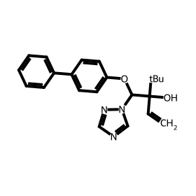 C=CC(O)(C(Oc1ccc(-c2ccccc2)cc1)n1cncn1)C(C)(C)C